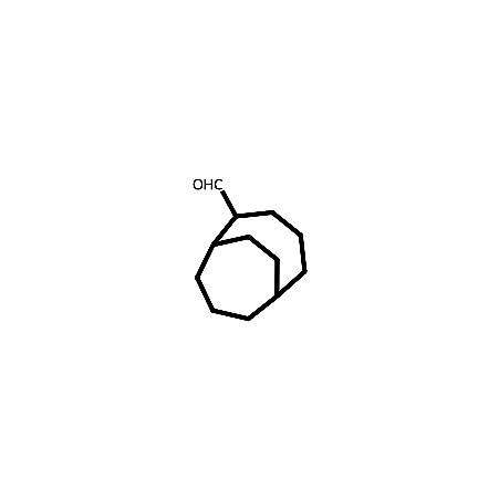 O=CC1CCCC2CCCC1CC2